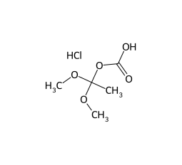 COC(C)(OC)OC(=O)O.Cl